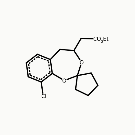 CCOC(=O)CC1Cc2cccc(Cl)c2OC2(CCCC2)O1